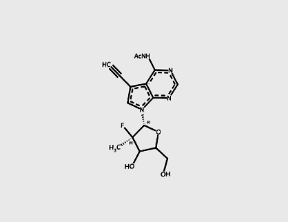 C#Cc1cn([C@@H]2OC(CO)C(O)[C@@]2(C)F)c2ncnc(NC(C)=O)c12